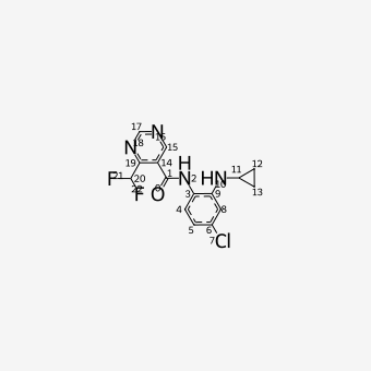 O=C(Nc1ccc(Cl)cc1NC1CC1)c1cncnc1C(F)F